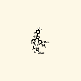 COCC(=O)N[C@@H](C)CNc1nccc(-c2[nH]c(C3=CC=C(C(F)(F)F)CC3F)nc2-c2cnc(N)c(OC)c2)n1